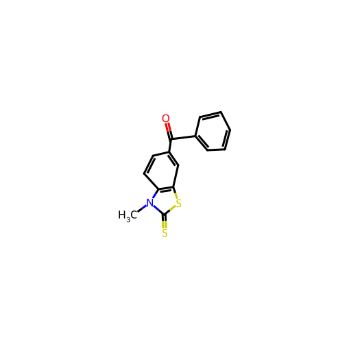 Cn1c(=S)sc2cc(C(=O)c3ccccc3)ccc21